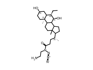 CC[C@@H]1C2C[C@H](O)CC[C@]2(C)C2CCC3(C)C(CCC3[C@H](C)CCC(=O)N(CCN)N=[N+]=[N-])C2[C@@H]1O